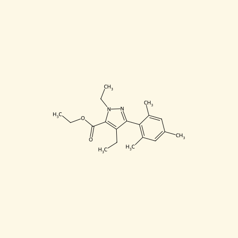 CCOC(=O)c1c(CC)c(-c2c(C)cc(C)cc2C)nn1CC